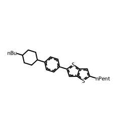 CCCCCc1cc2sc(-c3ccc(C4CCC(CCCC)CC4)cc3)cc2s1